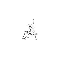 CC[O][Ta]([CH3])([CH3])([CH3])([CH3])([O]CC)([O]CC)[O]CC